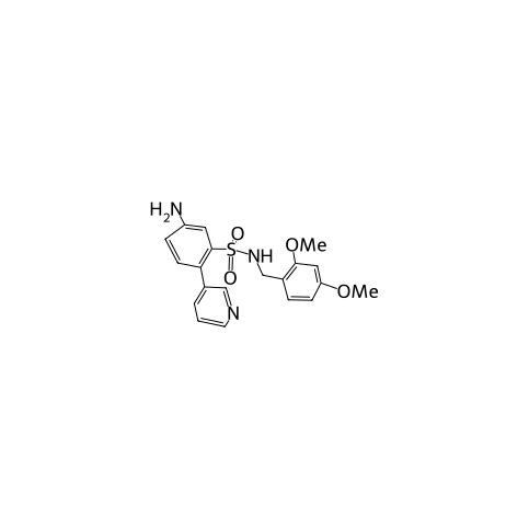 COc1ccc(CNS(=O)(=O)c2cc(N)ccc2-c2cccnc2)c(OC)c1